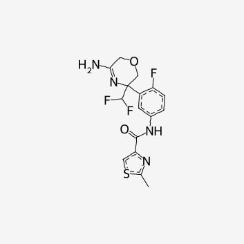 Cc1nc(C(=O)Nc2ccc(F)c(C3(C(F)F)COCC(N)=N3)c2)cs1